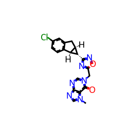 Cn1cnc2ncn(Cc3nc([C@H]4[C@@H]5Cc6cc(Cl)ccc6[C@@H]54)no3)c(=O)c21